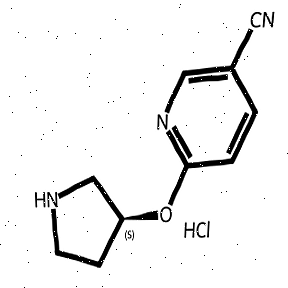 Cl.N#Cc1ccc(O[C@H]2CCNC2)nc1